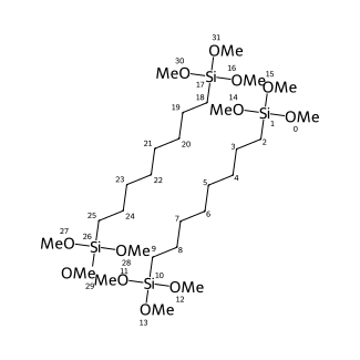 CO[Si](CCCCCCCC[Si](OC)(OC)OC)(OC)OC.CO[Si](CCCCCCCC[Si](OC)(OC)OC)(OC)OC